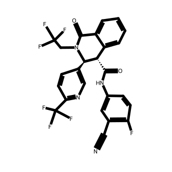 N#Cc1cc(NC(=O)[C@H]2c3ccccc3C(=O)N(CC(F)(F)F)[C@@H]2c2ccc(C(F)(F)F)nc2)ccc1F